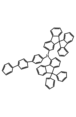 c1ccc(-c2ccc(-c3ccc(N(c4ccc5c(c4)C4(c6ccccc6-c6ccccc64)c4ccccc4-5)c4cccc5c4-c4ccccc4C5(c4ccccc4)c4ccccc4)cc3)cc2)cc1